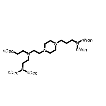 CCCCCCCCCCCCN(CCN(CCCCCCCCCC)CCCCCCCCCC)CCN1CCN(CCCN(CCCCCCCCC)CCCCCCCCC)CC1